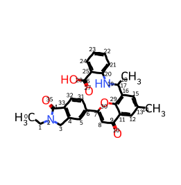 CCN1Cc2cc(-c3cc(=O)c4cc(C)cc(C(C)Nc5ccccc5C(=O)O)c4o3)ccc2C1=O